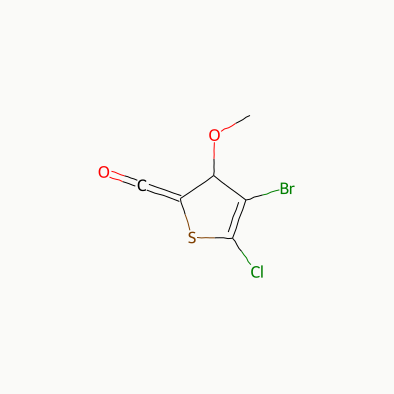 COC1C(=C=O)SC(Cl)=C1Br